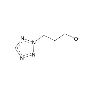 [O]CCCn1ncnn1